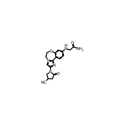 N#CC1CC(=O)N(c2cn3c(n2)-c2ccc(NCC(N)=O)cc2OCC3)C1